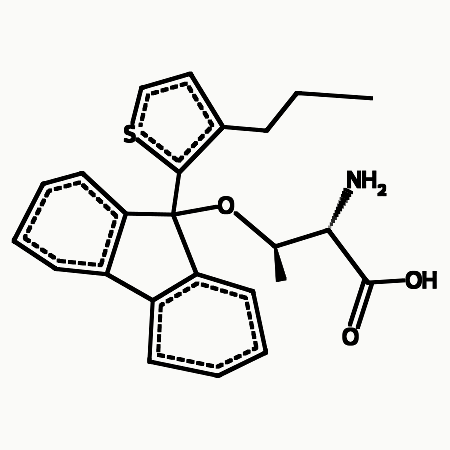 CCCc1ccsc1C1(O[C@H](C)[C@H](N)C(=O)O)c2ccccc2-c2ccccc21